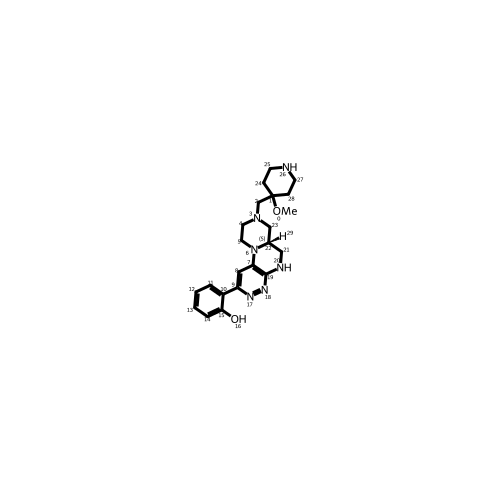 COC1(CN2CCN3c4cc(-c5ccccc5O)nnc4NC[C@H]3C2)CCNCC1